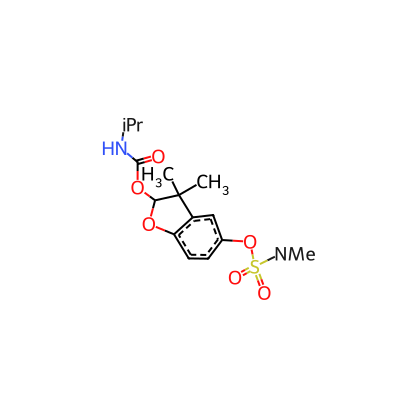 CNS(=O)(=O)Oc1ccc2c(c1)C(C)(C)C(OC(=O)NC(C)C)O2